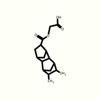 CC1C(C)C2CC1C1C3CC(C(=O)OCC(=O)O)C(C3)C21